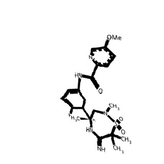 COc1ccc(C(=O)NC2=CC=C(F)C([C@]3(C)CN(C)S(=O)(=O)C(C)(C)C(=N)N3)C2)nc1